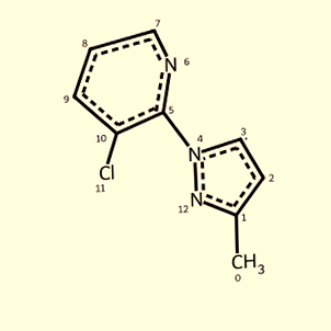 Cc1c[c]n(-c2ncccc2Cl)n1